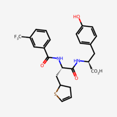 O=C(N[C@@H](CC1CC=CS1)C(=O)N[C@@H](Cc1ccc(O)cc1)C(=O)O)c1cccc(C(F)(F)F)c1